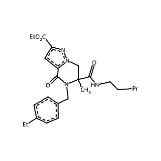 CCOC(=O)c1cc2n(n1)CC(C)(C(=O)NCCC(C)C)N(Cc1ccc(CC)cc1)C2=O